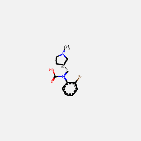 CN1CC[C@@H](CN(C(=O)O)c2ccccc2Br)C1